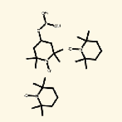 CC1(C)CC(OP(O)O)CC(C)(C)N1[O].CC1(C)CCCC(C)(C)N1[O].CC1(C)CCCC(C)(C)N1[O]